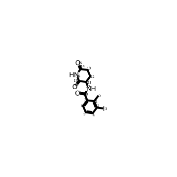 Cc1c(I)cccc1C(=O)NC1CCC(=O)NC1=O